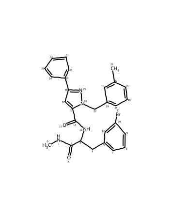 CNC(=O)C(Cc1cccc(Br)c1)NC(=O)c1cc(-c2ccccc2)nn1Cc1cccc(C)c1